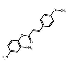 COc1ccc(/C=C/C(=O)Oc2ccc(N)cc2N)cc1